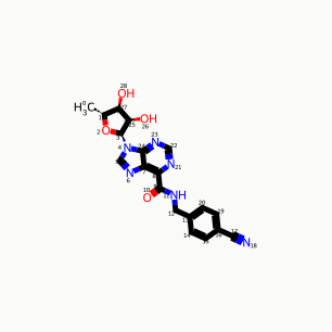 C[C@H]1O[C@@H](n2cnc3c(C(=O)NCc4ccc(C#N)cc4)ncnc32)[C@H](O)[C@@H]1O